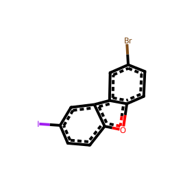 Brc1ccc2oc3ccc(I)cc3c2c1